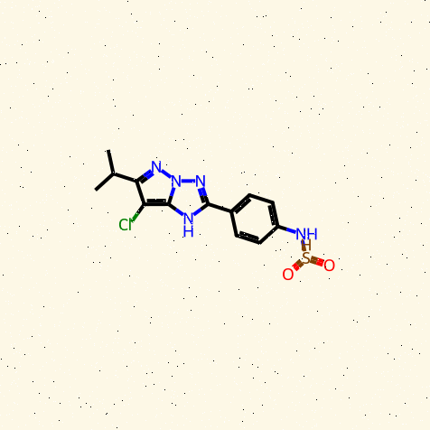 CC(C)c1nn2nc(-c3ccc(N[SH](=O)=O)cc3)[nH]c2c1Cl